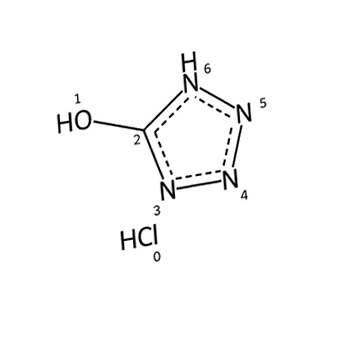 Cl.Oc1nnn[nH]1